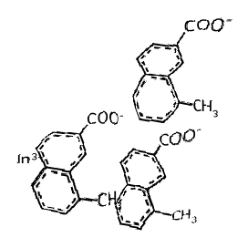 Cc1cccc2ccc(C(=O)[O-])cc12.Cc1cccc2ccc(C(=O)[O-])cc12.Cc1cccc2ccc(C(=O)[O-])cc12.[In+3]